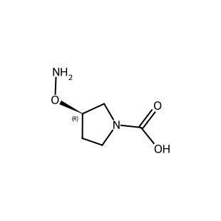 NO[C@@H]1CCN(C(=O)O)C1